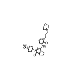 O=c1c(Nc2nn(-c3ccc(OC(F)(F)F)cc3)c(=O)c3c2CCC3)cccn1CCCN1CCOCC1